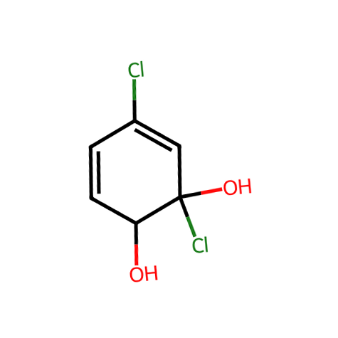 OC1C=CC(Cl)=CC1(O)Cl